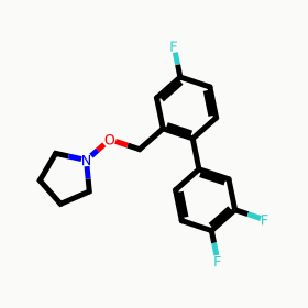 Fc1ccc(-c2ccc(F)c(F)c2)c(CON2CCCC2)c1